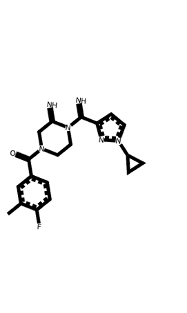 Cc1cc(C(=O)N2CCN(C(=N)c3ccn(C4CC4)n3)C(=N)C2)ccc1F